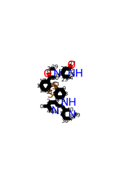 Cc1ccc(C(Nc2ccc3c(c2)Sc2cccc(C4CN(c5cc[nH]c(=O)c5)CCO4)c2S3)C2CCCN(C)C2)nc1